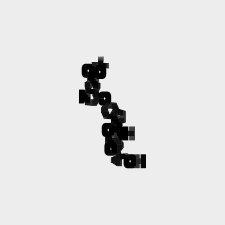 CC(C)(C)OC(=O)N1Cc2nccc(Oc3ccc4c(ccn4C(=O)Nc4cc(C5(CO)CC5)on4)c3)c2C1